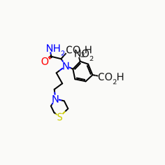 NC(=O)C(C(=O)O)N(CCCN1CCSCC1)c1ccc(C(=O)O)cc1[N+](=O)[O-]